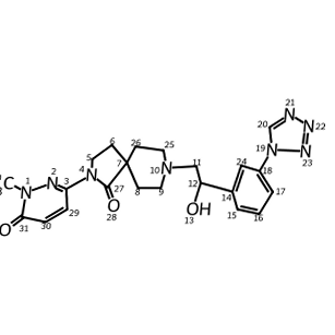 Cn1nc(N2CCC3(CCN(CC(O)c4cccc(-n5cnnn5)c4)CC3)C2=O)ccc1=O